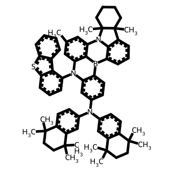 Cc1cc2c3c(c1)N1c4c(cccc4C4(C)CCCCC14C)B3c1ccc(N(c3ccc4c(c3)C(C)(C)CCC4(C)C)c3ccc4c(c3)C(C)(C)CCC4(C)C)cc1N2c1cccc2sc3ccccc3c12